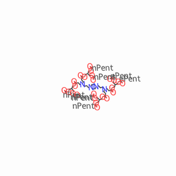 CCCCCC(=O)OCC(COC(=O)CCCCC)COC(=O)CCN(CCCN1CCN(CCCN(CCC(=O)OCC(COC(=O)CCCCC)COC(=O)CCCCC)CCC(=O)OCC(COC(=O)CCCCC)COC(=O)CCCCC)CC1)CCC(=O)OCC(COC(=O)CCCCC)COC(=O)CCCCC